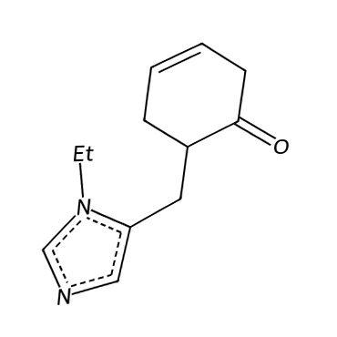 CCn1cncc1CC1CC=CCC1=O